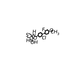 COc1ccc(-c2ccc(CNC3(C(=O)NO)CCSCC3)cc2Cl)c(F)c1